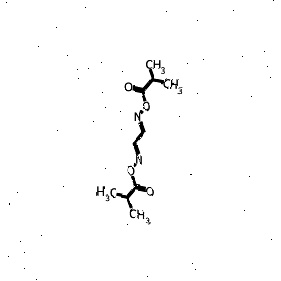 CC(C)C(=O)ON=CC=NOC(=O)C(C)C